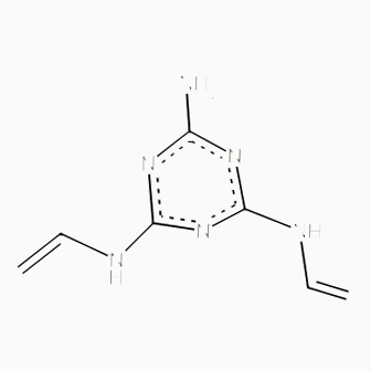 C=CNc1nc(N)nc(NC=C)n1